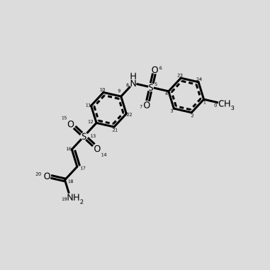 Cc1ccc(S(=O)(=O)Nc2ccc(S(=O)(=O)/C=C/C(N)=O)cc2)cc1